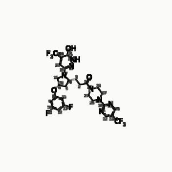 O=C(CC[C@@H]1C[C@H](Oc2cc(F)cc(F)c2)CN1C1=NNC(O)C(C(F)(F)F)=C1)N1CCN(c2ncc(C(F)(F)F)cn2)CC1